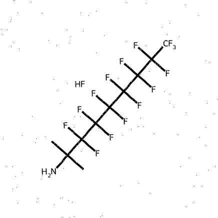 CC(C)(N)C(F)(F)C(F)(F)C(F)(F)C(F)(F)C(F)(F)C(F)(F)C(F)(F)F.F